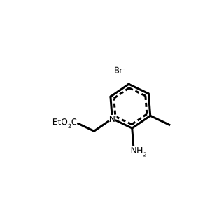 CCOC(=O)C[n+]1cccc(C)c1N.[Br-]